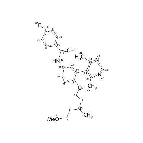 COCCN(C)CCOc1ccc(NC(=O)c2ccc(F)cc2)cc1-c1c(C)ncnc1C